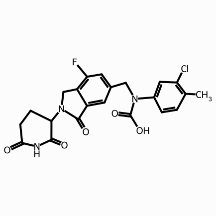 Cc1ccc(N(Cc2cc(F)c3c(c2)C(=O)N(C2CCC(=O)NC2=O)C3)C(=O)O)cc1Cl